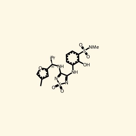 CNS(=O)(=O)c1cccc(NC2=NS(=O)(=O)N=C2N[C@@H](c2cc(C)co2)C(C)C)c1O